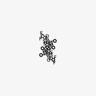 O=C1C(=O)c2cc(F)cc(F)c2/C1=C/c1cc2c(s1)-c1sc3c4c(sc3c1C2(C(=O)OCc1ccccc1)C(=O)OCc1ccccc1)-c1sc(/C=C2\C(=O)C(=O)C3C=C(F)C=C(F)C23)cc1C4(C(=O)OCc1ccccc1)C(=O)OCc1ccccc1